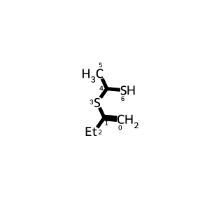 C=C(CC)SC(C)S